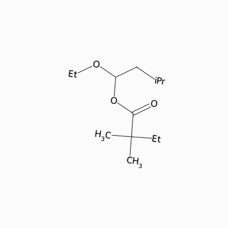 CCOC(CC(C)C)OC(=O)C(C)(C)CC